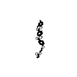 C=CC(=O)OCCCOc1ccc(C(=O)Oc2ccc(C(=O)Oc3ccc(C)cc3C)cc2)cc1